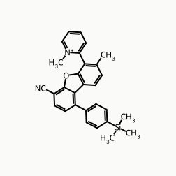 Cc1ccc2c(oc3c(C#N)ccc(-c4ccc([Si](C)(C)C)cc4)c32)c1-c1cccc[n+]1C